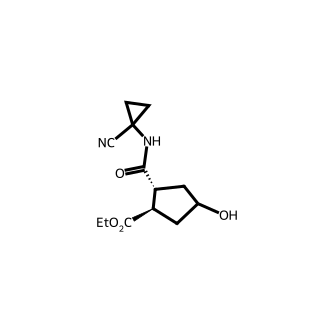 CCOC(=O)[C@@H]1CC(O)C[C@H]1C(=O)NC1(C#N)CC1